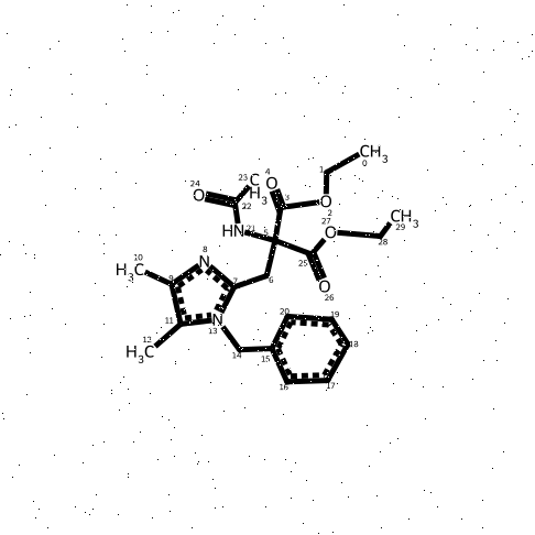 CCOC(=O)C(Cc1nc(C)c(C)n1Cc1ccccc1)(NC(C)=O)C(=O)OCC